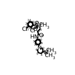 CN(C)[C@H]1CCCN(c2ccc(NC(=O)CCN(C)S(=O)(=O)c3cccc(Cl)c3Cl)cc2)C1